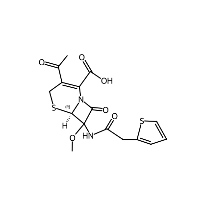 COC1(NC(=O)Cc2cccs2)C(=O)N2C(C(=O)O)=C(C(C)=O)CS[C@@H]21